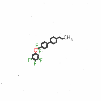 CCCC1CC=C(c2ccc(C(F)(F)Oc3cc(F)c(F)c(F)c3)cc2)CC1